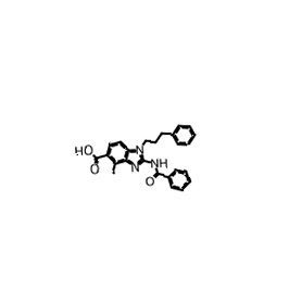 Cc1c(C(=O)O)ccc2c1nc(NC(=O)c1ccccc1)n2CCCc1ccccc1